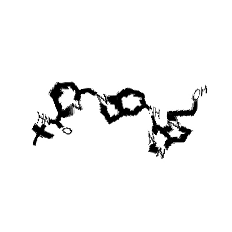 CC(C)(C)NC(=O)c1cccc(Cn2ccc3cc(Nc4ncnc5ccn(CCO)c45)ccc32)n1